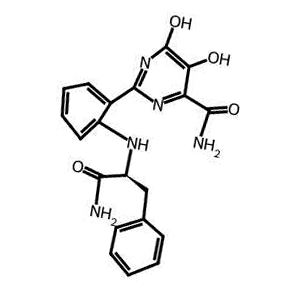 NC(=O)c1nc(-c2ccccc2N[C@@H](Cc2ccccc2)C(N)=O)nc(O)c1O